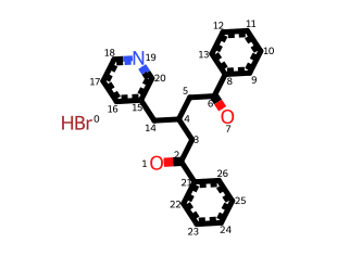 Br.O=C(CC(CC(=O)c1ccccc1)Cc1cccnc1)c1ccccc1